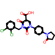 O=C(O)c1cn(-c2ccc(N3CCCC3=O)cc2)c(=O)n(Cc2cccc(Cl)c2Cl)c1=O